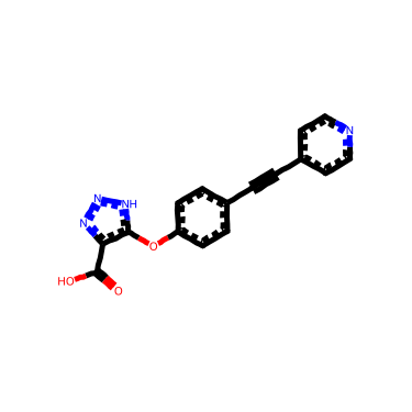 O=C(O)c1nn[nH]c1Oc1ccc(C#Cc2ccncc2)cc1